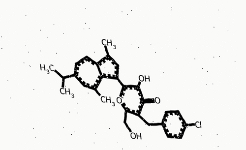 Cc1cc(-c2oc(CO)c(Cc3ccc(Cl)cc3)c(=O)c2O)c2c(C)cc(C(C)C)ccc1-2